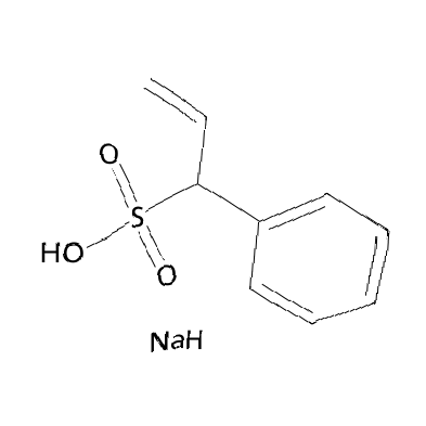 C=CC(c1ccccc1)S(=O)(=O)O.[NaH]